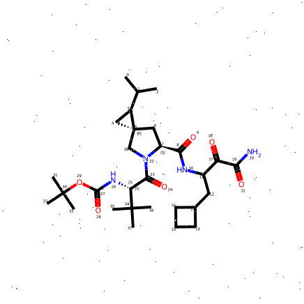 CC(C)C1C[C@@]12C[C@@H](C(=O)NC(CC1CCC1)C(=O)C(N)=O)N(C(=O)[C@@H](NC(=O)OC(C)(C)C)C(C)(C)C)C2